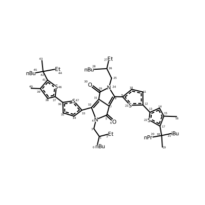 CCCCC(CC)CN1C(=O)C2=C(c3ccc(-c4cc(C)c(C(C)(CCC)C(C)CC)s4)s3)N(CC(CC)CCCC)C(=O)C2=C1c1ccc(-c2cc(C)c(C(C)(CC)CCCC)s2)s1